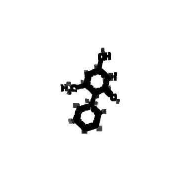 Cc1cc(O)[nH]c(=O)c1-[n+]1ccccc1